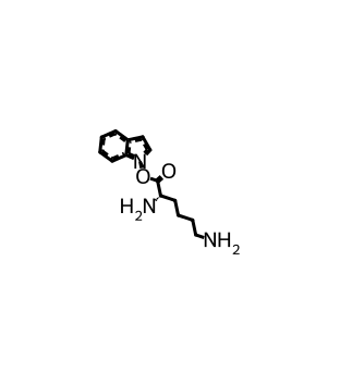 NCCCC[C@H](N)C(=O)On1ccc2ccccc21